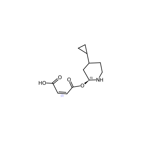 O=C(O)/C=C\C(=O)O[C@H]1CC(C2CC2)CCN1